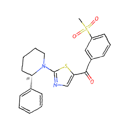 CS(=O)(=O)c1cccc(C(=O)c2cnc(N3CCCC[C@H]3c3ccccc3)s2)c1